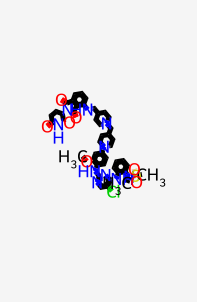 COc1cc(N2CCC(CN3CCC(CNc4cccc5c4C(=O)N(C4CCC(=O)NC4=O)C5=O)CC3)CC2)ccc1Nc1ncc(Cl)c(Nc2ccccc2N(C)S(C)(=O)=O)n1